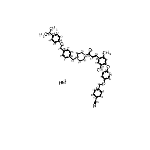 Br.Cc1cc(Oc2ccc(OCc3ccc(C#N)cc3)cn2)c(Cl)cc1/C=C/C(=O)N1CCN(Cc2ccc(COc3ccc(C(C)C)cc3)cc2)CC1